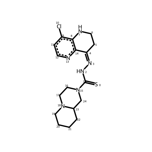 S=C(N/N=C1/CCNc2c(Cl)ccnc21)N1CCN2CCCCC2C1